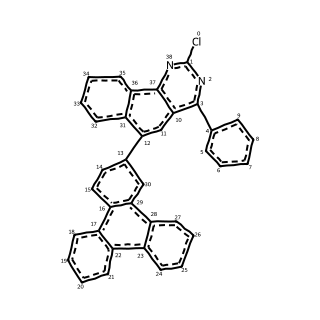 Clc1nc(-c2ccccc2)c2cc(-c3ccc4c5ccccc5c5ccccc5c4c3)c3ccccc3c2n1